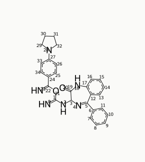 N=C(NC1N=C(c2ccccc2)c2ccccc2NC1=O)OC(=N)c1ccc(N2CCCC2)cc1